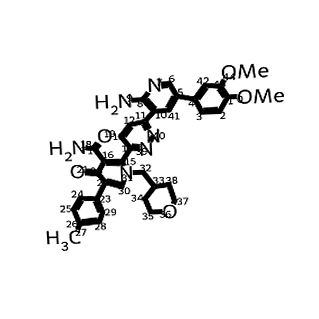 COc1ccc(-c2cnc(N)c(-c3ccc(-c4c(C(N)=O)c(=O)c(-c5ccc(C)cc5)cn4CC4CCOCC4)nn3)c2)cc1OC